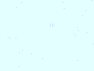 CCCCCCc1ccc([N+](=O)[O-])cc1.N